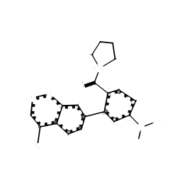 Nc1cnnc2cc(-c3cc(B(O)O)ccc3C(=O)N3CCCC3)ccc12